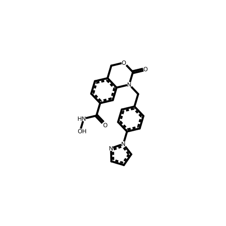 O=C(NO)c1ccc2c(c1)N(Cc1ccc(-n3cccn3)cc1)C(=O)OC2